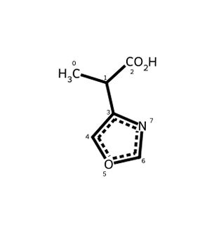 CC(C(=O)O)c1cocn1